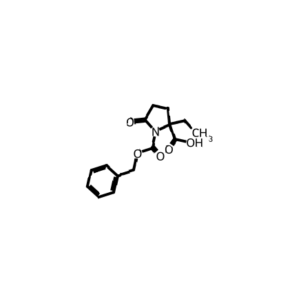 CCC1(C(=O)O)CCC(=O)N1C(=O)OCc1ccccc1